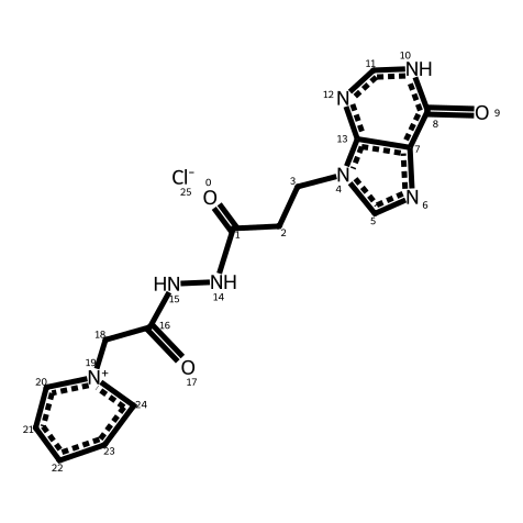 O=C(CCn1cnc2c(=O)[nH]cnc21)NNC(=O)C[n+]1ccccc1.[Cl-]